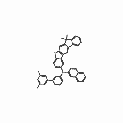 Cc1cc(C)cc(-c2cccc(N(c3ccc4ccccc4c3)c3ccc4oc5cc6c(cc5c4c3)-c3ccccc3C6(C)C)c2)c1